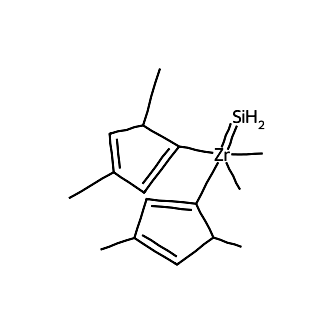 CC1=CC(C)[C]([Zr]([CH3])([CH3])(=[SiH2])[C]2=CC(C)=CC2C)=C1